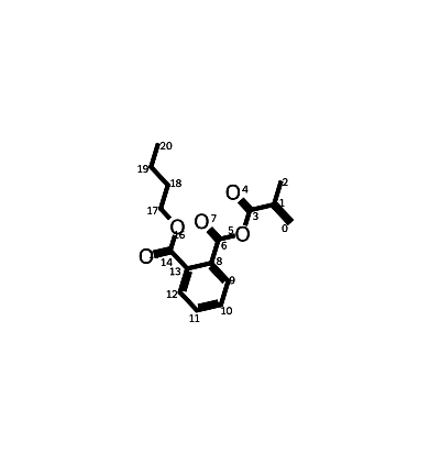 C=C(C)C(=O)OC(=O)c1ccccc1C(=O)OCCCC